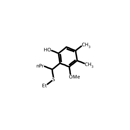 CCCC(SCC)c1c(O)cc(C)c(C)c1OC